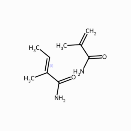 C/C=C(\C)C(N)=O.C=C(C)C(N)=O